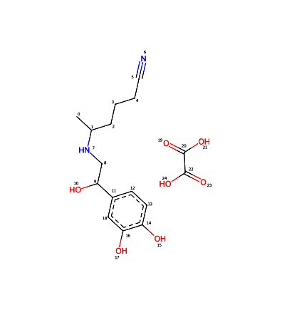 CC(CCCC#N)NCC(O)c1ccc(O)c(O)c1.O=C(O)C(=O)O